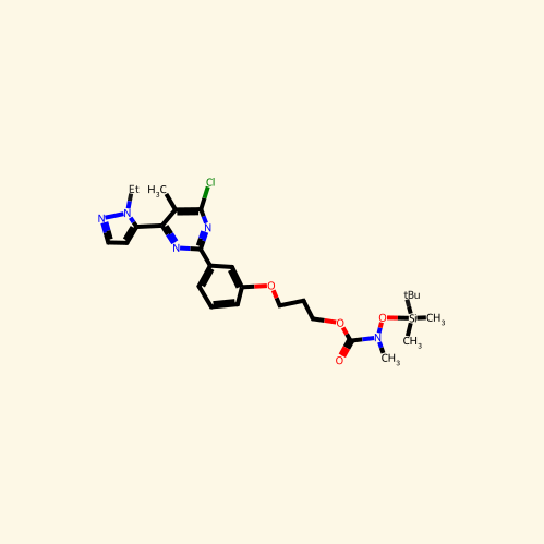 CCn1nccc1-c1nc(-c2cccc(OCCCOC(=O)N(C)O[Si](C)(C)C(C)(C)C)c2)nc(Cl)c1C